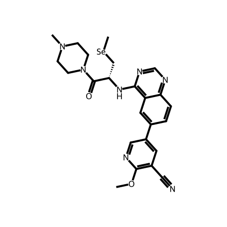 COc1ncc(-c2ccc3ncnc(N[C@@H](C[Se]C)C(=O)N4CCN(C)CC4)c3c2)cc1C#N